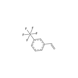 C=[C]c1cccc(S(F)(F)(F)(F)F)c1